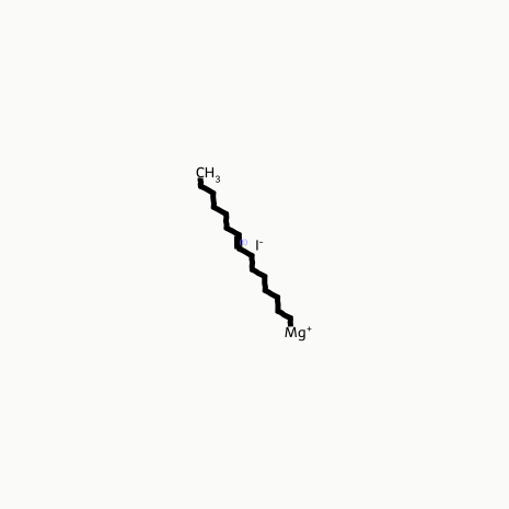 CCCCCC/C=C/CCCCCC[CH2][Mg+].[I-]